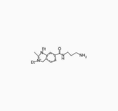 CCN1C(C)=[N+](CC)Cc2ccc(C(=O)NCCCN)cc21